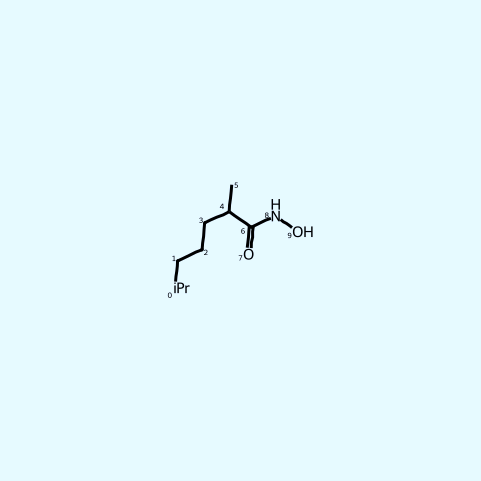 CC(C)CCCC(C)C(=O)NO